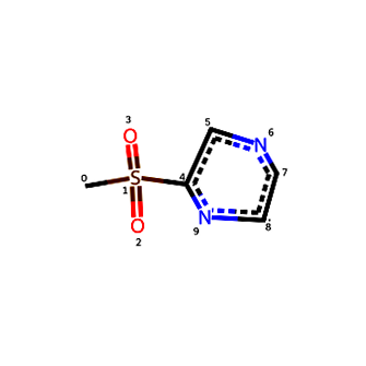 CS(=O)(=O)c1cnc[c]n1